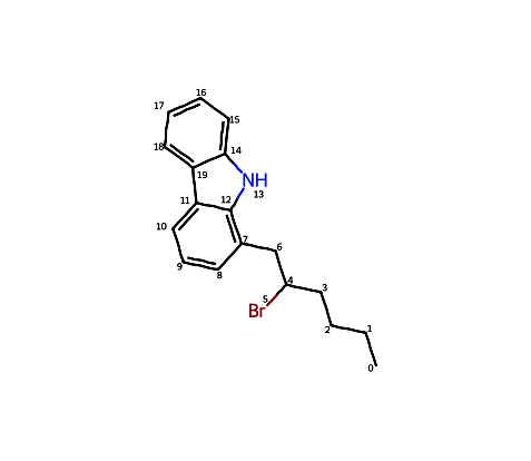 CCCCC(Br)Cc1cccc2c1[nH]c1ccccc12